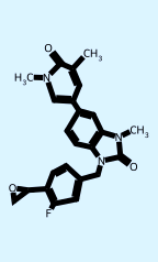 Cc1cc(-c2ccc3c(c2)n(C)c(=O)n3Cc2ccc(C3CO3)c(F)c2)cn(C)c1=O